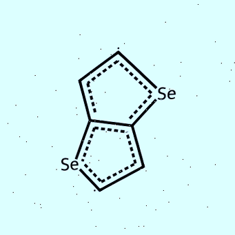 [c]1cc2[se][c]cc2[se]1